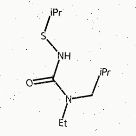 [CH2]CN(CC(C)C)C(=O)NSC(C)C